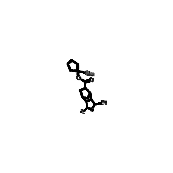 CCC1OC(CC)C2C3CC(CC3C(=O)OC3(C(C)(C)C)CCCC3)C12